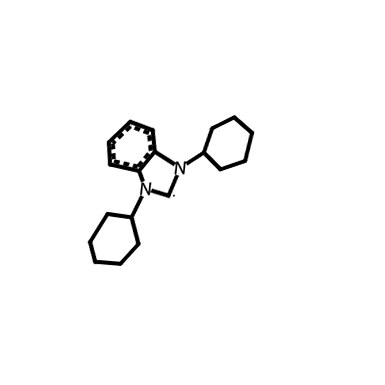 [CH]1N(C2CCCCC2)c2ccccc2N1C1CCCCC1